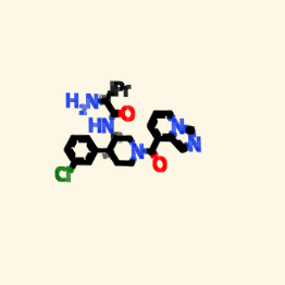 CC(C)[C@H](N)C(=O)N[C@@H]1CN(C(=O)c2cccn3cncc23)CC[C@H]1c1cccc(Cl)c1